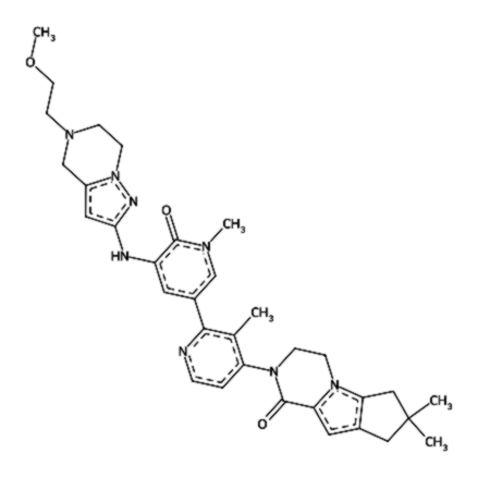 COCCN1CCn2nc(Nc3cc(-c4nccc(N5CCn6c(cc7c6CC(C)(C)C7)C5=O)c4C)cn(C)c3=O)cc2C1